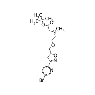 CN(CCOC[C@@H]1CC(c2ccc(Br)cn2)=NO1)CC(=O)OC(C)(C)C